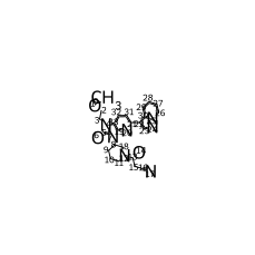 COCCn1c(=O)n([C@H]2CCCN(C(=O)CC#N)C2)c2nc(-c3cnn4ccccc34)ccc21